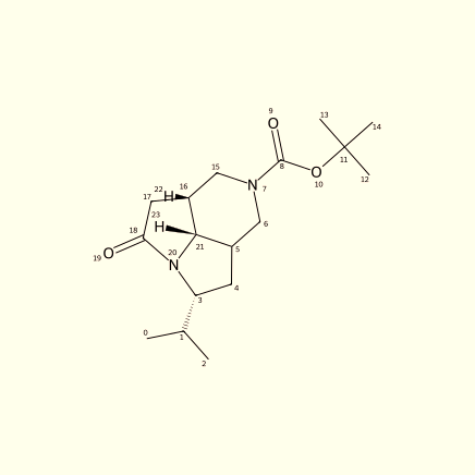 CC(C)[C@H]1CC2CN(C(=O)OC(C)(C)C)C[C@H]3CC(=O)N1[C@@H]23